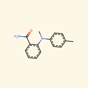 Cc1ccc(N(C)c2ccccc2C(N)=O)cc1